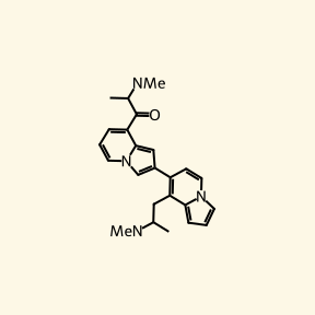 CNC(C)Cc1c(-c2cc3c(C(=O)C(C)NC)cccn3c2)ccn2cccc12